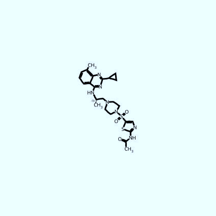 CC(=O)Nc1ncc(S(=O)(=O)N2CCN(C[C@H](C)Nc3nc(C4CC4)nc4c(C)cccc34)CC2)s1